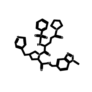 Cn1nnc2cc(CNC(=O)C3CC(Cc4ccncc4)CN3C(=O)C(CCC(=O)N3CCCC3)NS(=O)(=O)c3ccccc3)ccc21